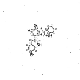 O=C(N[C@@H](Cc1c[nH]c2ccccc12)C(=O)O)[C@H](CS)Cc1ccc(Br)cc1